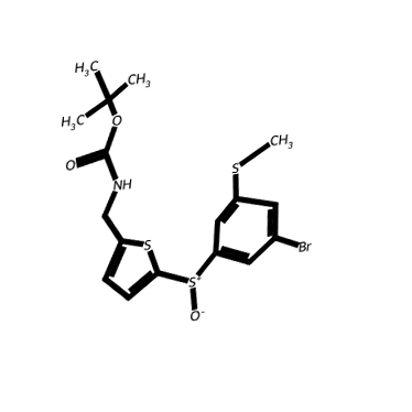 CSc1cc(Br)cc([S+]([O-])c2ccc(CNC(=O)OC(C)(C)C)s2)c1